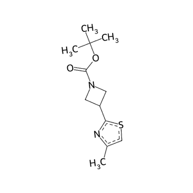 Cc1csc(C2CN(C(=O)OC(C)(C)C)C2)n1